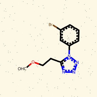 O=COCCc1nnnn1-c1cccc(Br)c1